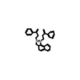 C=C(CCN1CC2CC=c3ccccc3=C2N1CCC(=C)c1ccccc1)c1ccccc1